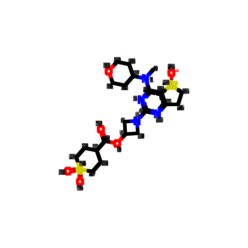 CN(c1nc(N2CC(OC(=O)C3CCS(=O)(=O)CC3)C2)nc2c1[S+]([O-])CC2)C1CCOCC1